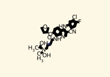 C[C@H](O)N(C/C=C/C(=O)Nc1c(O[C@H]2CCOC2)ccc2c(Nc3ccc(F)c(Cl)c3)c(C#N)cnc12)[C@H](C)O